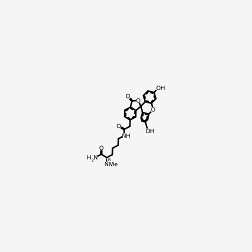 CN[C@H](CCCCNC(=O)Cc1ccc2c(c1)C1(OC2=O)c2ccc(O)cc2Oc2cc(O)ccc21)C(N)=O